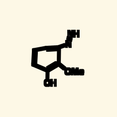 COc1c(O)cccc1N=N